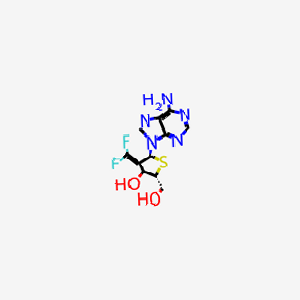 Nc1ncnc2c1ncn2[C@H]1S[C@H](CO)C(O)C1=C(F)F